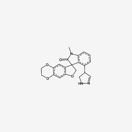 CN1C(=O)C2(COc3cc4c(cc32)OCCO4)c2c(C3C=NNC3)cccc21